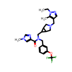 CCn1ncc(CN2CC3C(C2)C3CN(Cc2cccc(OC(F)(F)F)c2)C(=O)c2cn(C)cn2)c1C